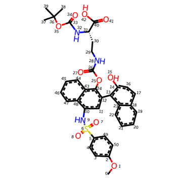 COc1ccc(S(=O)(=O)Nc2cc(-c3c(O)ccc4ccccc34)c(OC(=O)NCC[C@H](NC(=O)OC(C)(C)C)C(=O)O)c3ccccc23)cc1